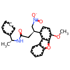 COc1ccc([C@@H](CC(=O)N[C@H](C)c2ccccc2)C[N+](=O)[O-])c2c1oc1ccccc12